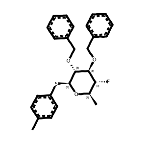 Cc1ccc(S[C@@H]2O[C@H](C)[C@@H](F)[C@H](OCc3ccccc3)[C@H]2OCc2ccccc2)cc1